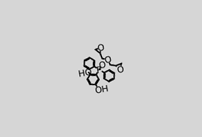 C(OCC1CO1)C1CO1.O=P(c1ccccc1)(c1ccccc1)c1cc(O)ccc1O